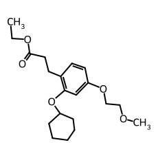 CCOC(=O)CCc1ccc(OCCOC)cc1OC1CCCCC1